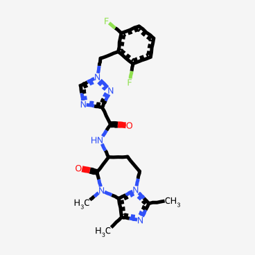 Cc1nc(C)n2c1N(C)C(=O)C(NC(=O)c1ncn(Cc3c(F)cccc3F)n1)CC2